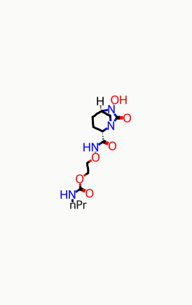 CCCNC(=O)OCCONC(=O)[C@@H]1CC[C@@H]2CN1C(=O)N2O